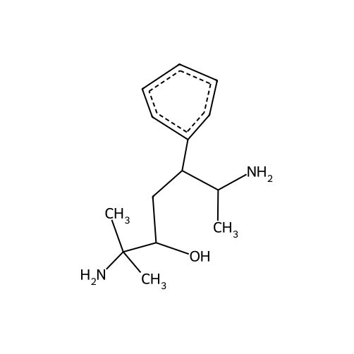 CC(N)C(CC(O)C(C)(C)N)c1ccccc1